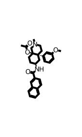 COc1cccc([C@@]23CCN(C)C[C@@]2(OC(C)=O)CC[C@H](NC(=O)c2ccc4ccccc4c2)C3)c1